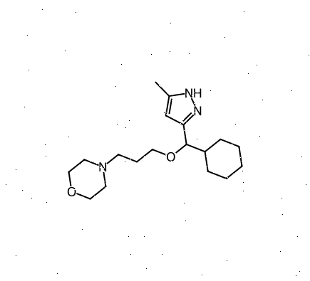 Cc1cc(C(OCCCN2CCOCC2)C2CCCCC2)n[nH]1